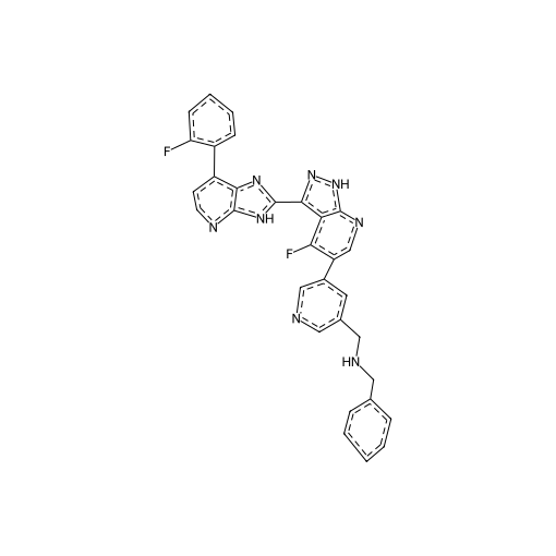 Fc1ccccc1-c1ccnc2[nH]c(-c3n[nH]c4ncc(-c5cncc(CNCc6ccccc6)c5)c(F)c34)nc12